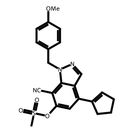 COc1ccc(Cn2ncc3c(C4=CCCC4)cc(OS(C)(=O)=O)c(C#N)c32)cc1